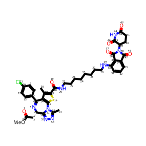 COC(=O)C[C@@H]1N=C(c2ccc(Cl)cc2)c2c(sc(C(=O)NCCCCCCCCNc3cccc4c3C(=O)N(C3CCC(=O)NC3=O)C4=O)c2C)-n2c(C)nnc21